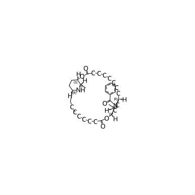 C[C@@H]1N[C@@H]2CCCCCCCC(=O)O[C@H]3CC[C@@H](CCCCCCCC(=O)O[C@H]1CC2)N(C(=O)c1ccccc1)[C@H]3C